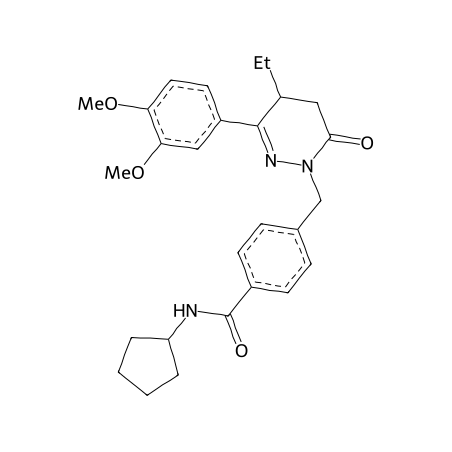 CCC1CC(=O)N(Cc2ccc(C(=O)NC3CCCC3)cc2)N=C1c1ccc(OC)c(OC)c1